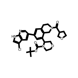 CC(C)(C)OC(=O)N1CCOCC1c1cc(-c2cnc3[nH]cc(Cl)c3c2)cc2c1CN(C(=O)C1CCOC1)CC2